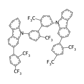 FC(F)(F)c1ccc(-c2ccc3c4ccccc4n(-c4ccc(C(F)(F)F)c(-c5cc(-n6c7ccccc7c7ccc(-c8ccc(C(F)(F)F)cc8C(F)(F)F)cc76)ccc5C(F)(F)F)c4)c3c2)c(C(F)(F)F)c1